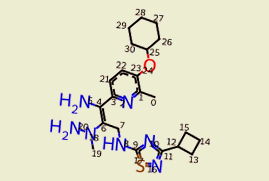 Cc1nc(/C(N)=C(\CNc2nc(C3CCC3)ns2)N(C)N)ccc1OC1CCCCC1